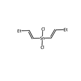 CCC=[CH][Sn]([Cl])([Cl])[CH]=CCC